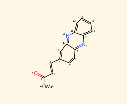 COC(=O)/C=C/c1ccc2nc3ccccc3nc2c1